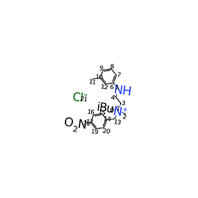 CCC(C)[N+](C)(CCNc1cccc(C)c1)Cc1ccc([N+](=O)[O-])cc1.[Cl-]